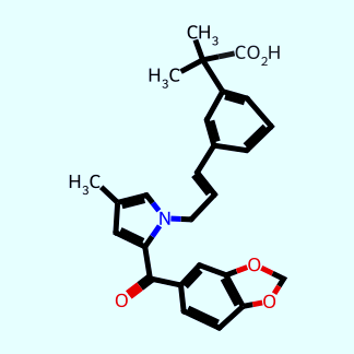 Cc1cc(C(=O)c2ccc3c(c2)OCO3)n(C/C=C/c2cccc(C(C)(C)C(=O)O)c2)c1